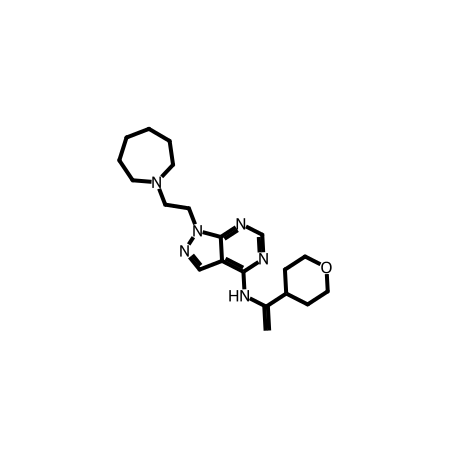 C=C(Nc1ncnc2c1cnn2CCN1CCCCCC1)C1CCOCC1